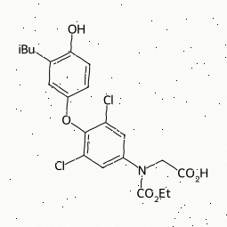 CCOC(=O)N(CC(=O)O)c1cc(Cl)c(Oc2ccc(O)c(C(C)CC)c2)c(Cl)c1